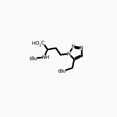 CC(C)(C)Cc1cnnn1CCC(NC(C)(C)C)C(=O)O